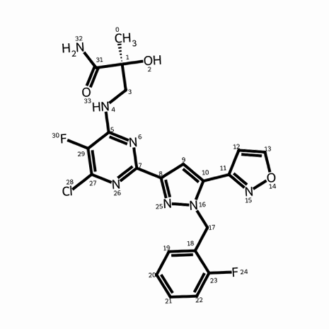 C[C@](O)(CNc1nc(-c2cc(-c3ccon3)n(Cc3ccccc3F)n2)nc(Cl)c1F)C(N)=O